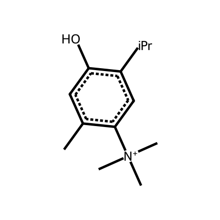 Cc1cc(O)c(C(C)C)cc1[N+](C)(C)C